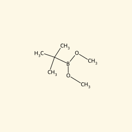 COB(OC)C(C)(C)C